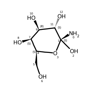 N[C@@]1(O)O[C@@H](CO)[C@@H](O)[C@@H](O)[C@@H]1O